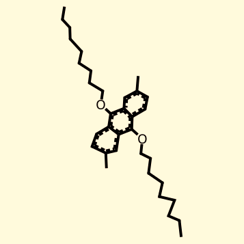 CCCCCCCCCOc1c2ccc(C)cc2c(OCCCCCCCCC)c2ccc(C)cc12